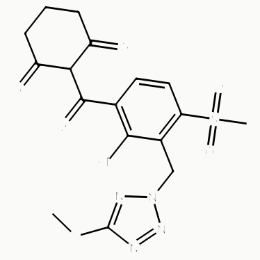 CSc1nnn(Cc2c(S(C)(=O)=O)ccc(C(=O)C3C(=O)CCCC3=O)c2Cl)n1